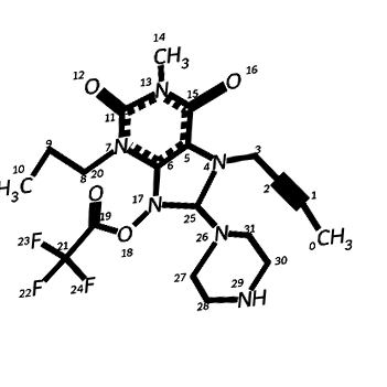 CC#CCN1c2c(n(CCC)c(=O)n(C)c2=O)N(OC(=O)C(F)(F)F)C1N1CCNCC1